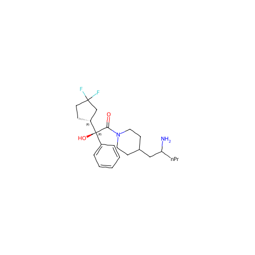 CCCC(N)CC1CCN(C(=O)[C@](O)(c2ccccc2)[C@@H]2CCC(F)(F)C2)CC1